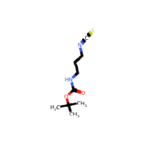 CC(C)(C)OC(=O)NCCCN=C=S